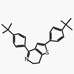 CC(C)(C)c1ccc(C2=NCCc3sc(-c4ccc(C(C)(C)C)cc4)cc32)cc1